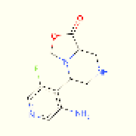 Nc1cncc(F)c1C1CNCC2C(=O)OCN21